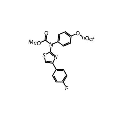 CCCCCCCCOc1ccc(N(C(=O)OC)c2nc(-c3ccc(F)cc3)cs2)cc1